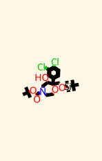 CC(C)(C)OC(=O)N1CCOC(CO[Si](C)(C)C(C)(C)C)(c2ccc(Cl)c(Cl)c2)C(O)C1